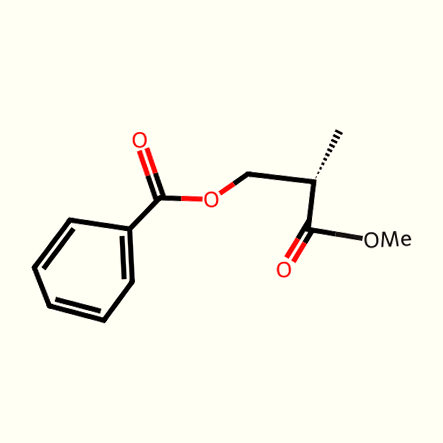 COC(=O)[C@@H](C)COC(=O)c1ccccc1